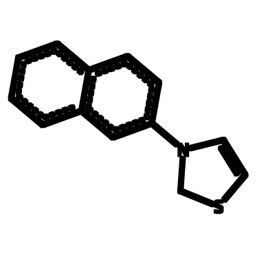 C1=CN(c2ccc3ccccc3c2)CS1